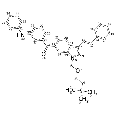 C[Si](C)(C)CCOCn1nc(C=Cc2ccccc2)c2ccc(C(=O)c3cccc(Nc4ccccc4)c3)cc21